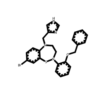 Brc1ccc2c(c1)SN(c1ccccc1OCc1ccccc1)CCN2Cc1c[nH]cn1